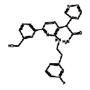 NC(=O)C(c1cccnc1)c1ccc(-c2cccc(CO)c2)nc1NCCc1cccc(F)c1